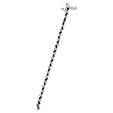 CC(C)(COCCOCCOCCOCCOCCOCCOCCOCCOCCOCCOCCOCCOCCOCCOCCOCCOCCOCCOCCOCCN=[N+]=[N-])C(=O)O